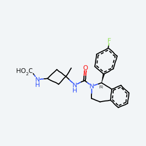 CC1(NC(=O)N2CCc3ccccc3[C@@H]2c2ccc(F)cc2)CC(NC(=O)O)C1